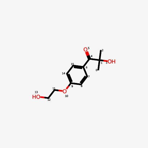 CC(C)(O)C(=O)c1ccc(OCCO)cc1